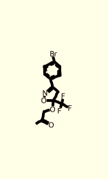 CC(=O)COC1(C(F)(F)F)CC(c2ccc(Br)cc2)=NO1